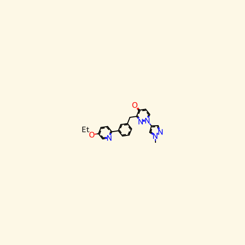 CCOc1ccc(-c2cccc(Cc3nn(-c4cnn(C)c4)ccc3=O)c2)nc1